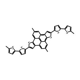 Cc1cc2c3cc(-c4ccc(-c5ccc(C)s5)s4)sc3c3cc(C)cc4c5cc(-c6ccc(-c7ccc(C)s7)s6)sc5c(c1)c2c43